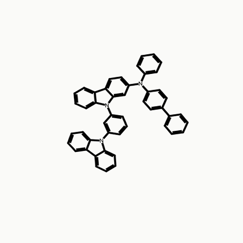 c1ccc(-c2ccc(N(c3ccccc3)c3ccc4c5ccccc5n(-c5cccc(-n6c7ccccc7c7ccccc76)c5)c4c3)cc2)cc1